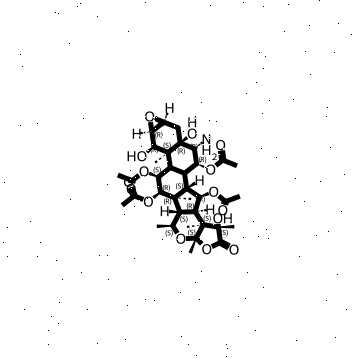 CC(=O)O[C@H]1[C@@H]2[C@H]([C@H](C)O[C@@]3(C)OC(=O)[C@@](C)(O)[C@]23C)[C@]2(C)[C@@H]1C1C([C@H](OC(C)=O)[C@@H]2OC(C)=O)[C@@]2(C)[C@@H](O)[C@H]3O[C@H]3C[C@]2(O)[C@H](N)[C@@H]1OC(C)=O